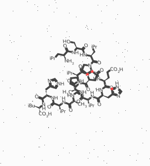 CC[C@H](C)[C@H](NC(=O)[C@H](Cc1c[nH]cn1)NC(=O)[C@@H](NC(=O)[C@H](C)NC(=O)[C@@H]1CCCN1C(=O)[C@@H]1CCCN1C(=O)[C@@H](NC(=O)[C@H](C)NC(=O)[C@@H](NC(=O)[C@H](Cc1c[nH]cn1)NC(=O)[C@H](CCC(=O)O)NC(=O)[C@@H]1CCCN1C(=O)[C@H](CC(C)C)NC(=O)[C@H](CO)NC(=O)[C@@H](N)CC(C)C)C(C)C)C(C)C)C(C)C)C(=O)O